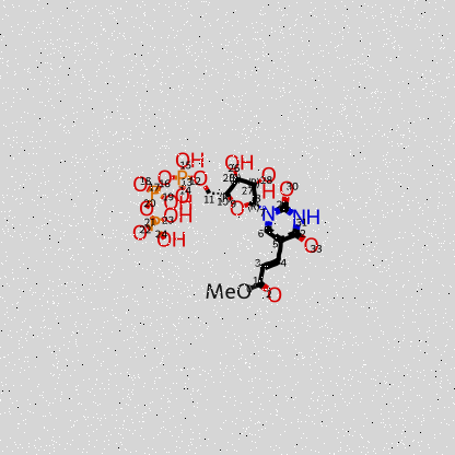 COC(=O)C=Cc1cn([C@@H]2O[C@H](COP(=O)(O)OP(=O)(O)OP(=O)(O)O)[C@@H](O)[C@H]2O)c(=O)[nH]c1=O